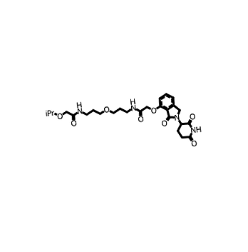 CC(C)OCC(=O)NCCCOCCCNC(=O)COc1cccc2c1C(=O)N(C1CCC(=O)NC1=O)C2